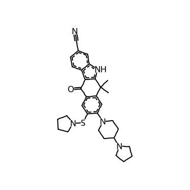 CC1(C)c2cc(N3CCC(N4CCCC4)CC3)c(SN3CCCC3)cc2C(=O)c2c1[nH]c1cc(C#N)ccc21